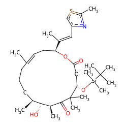 C/C1=C/C[C@@H](/C(C)=C/c2csc(C)n2)OC(=O)C[C@H](O[Si](C)(C)C(C)(C)C)C(C)(C)C(=O)[C@@H](C)[C@H](O)[C@@H](C)CCC1